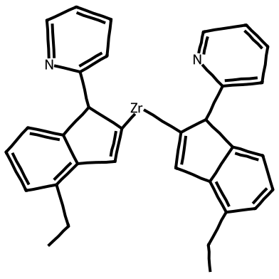 CCc1cccc2c1C=[C]([Zr][C]1=Cc3c(CC)cccc3C1c1ccccn1)C2c1ccccn1